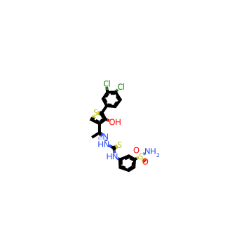 C/C(=N\NC(=S)Nc1cccc(S(N)(=O)=O)c1)c1csc(-c2ccc(Cl)c(Cl)c2)c1O